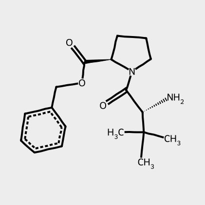 CC(C)(C)[C@@H](N)C(=O)N1CCC[C@@H]1C(=O)OCc1ccccc1